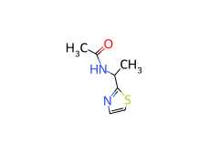 CC(=O)NC(C)c1nccs1